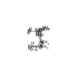 CC(C)[C@H](NC(=O)CCCCCN1C(=O)C=CC1=O)C(=O)N[C@@H](CCCNC(N)O)C(=O)Nc1ccc(COC(=O)N(C)CCN(C)C(=O)OCCNCCNc2c3ccccc3nc3ccccc23)cc1